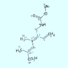 C=C/C(CNC(=O)OC(C)(C)C)=C(C)\C=C(/C)C(=O)O